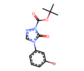 CC(C)(C)OC(=O)n1ncn(-c2cccc(Br)c2)c1=O